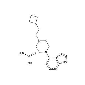 NC(=O)O.c1cc(N2CCN(CCC3CCC3)CC2)c2ccsc2c1